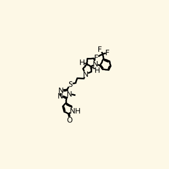 Cn1c(SCCCN2C[C@@H]3CCN(c4ccccc4C(F)(F)F)[C@@H]3C2)nnc1-c1ccc(=O)[nH]c1